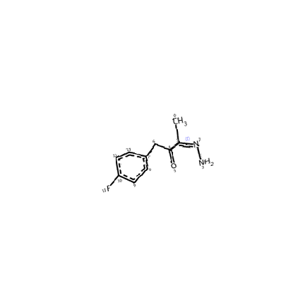 C/C(=N/N)C(=O)Cc1ccc(F)cc1